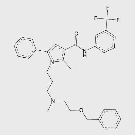 Cc1c(C(=O)Nc2cccc(C(F)(F)F)c2)cc(-c2ccccc2)n1CCCN(C)CCOCc1ccccc1